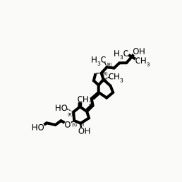 C=C1C(=CC=C2CCC[C@@]3(C)C2CC[C@@H]3[C@H](C)CCCC(C)(C)O)C[C@@H](O)[C@H](OCCCO)[C@@H]1O